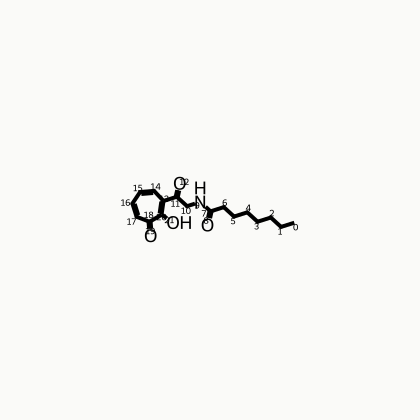 CCCCCCCC(=O)NCC(=O)c1ccccc(=O)c1O